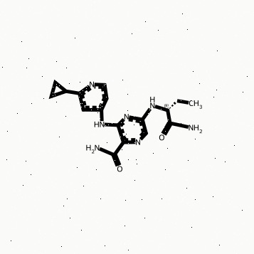 CC[C@@H](Nc1cnc(C(N)=O)c(Nc2ccnc(C3CC3)c2)n1)C(N)=O